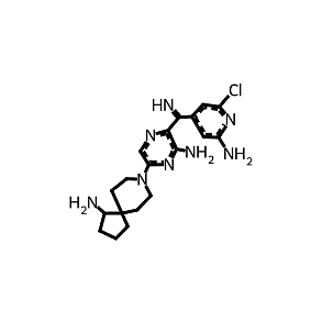 N=C(c1cc(N)nc(Cl)c1)c1ncc(N2CCC3(CCCC3N)CC2)nc1N